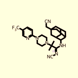 CC(C)(/C(=N\C#N)NC1C2CC3CC1CC(CC#N)(C3)C2)N1CCN(c2ccc(C(F)(F)F)cn2)CC1